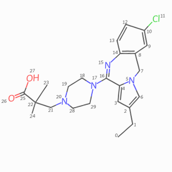 CCc1cc2n(c1)Cc1cc(Cl)ccc1N=C2N1CCN(CC(C)(C)C(=O)O)CC1